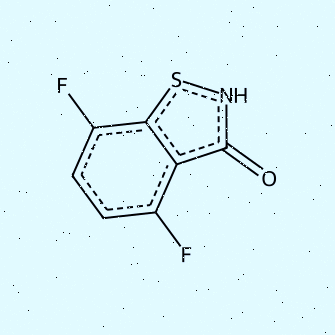 O=c1[nH]sc2c(F)ccc(F)c12